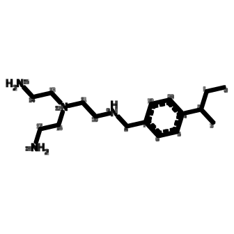 CCC(C)c1ccc(CNCCN(CCN)CCN)cc1